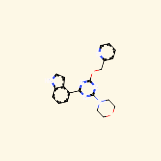 c1ccc(COc2nc(-c3cccc4[nH]ccc34)nc(N3CCOCC3)n2)nc1